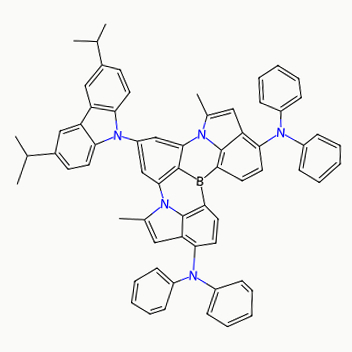 Cc1cc2c(N(c3ccccc3)c3ccccc3)ccc3c2n1-c1cc(-n2c4ccc(C(C)C)cc4c4cc(C(C)C)ccc42)cc2c1B3c1ccc(N(c3ccccc3)c3ccccc3)c3cc(C)n-2c13